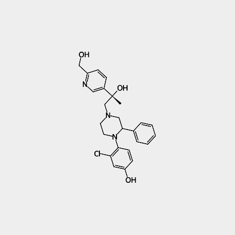 C[C@@](O)(CN1CCN(c2ccc(O)cc2Cl)C(c2ccccc2)C1)c1ccc(CO)nc1